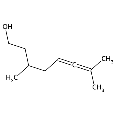 CC(C)=C=CCC(C)CCO